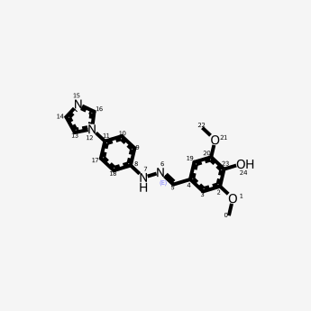 COc1cc(/C=N/Nc2ccc(-n3ccnc3)cc2)cc(OC)c1O